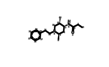 CCC(=O)N[C@@H]1C[C@@H](C)N(CCc2ccccc2)C[C@@H]1C